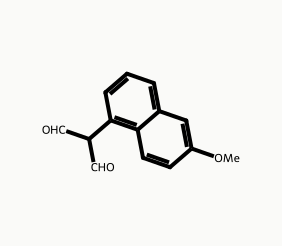 COc1ccc2c(C(C=O)C=O)cccc2c1